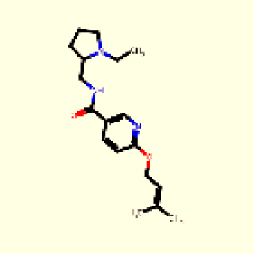 CCN1CCCC1CNC(=O)c1ccc(OCC=C(C)C)nc1